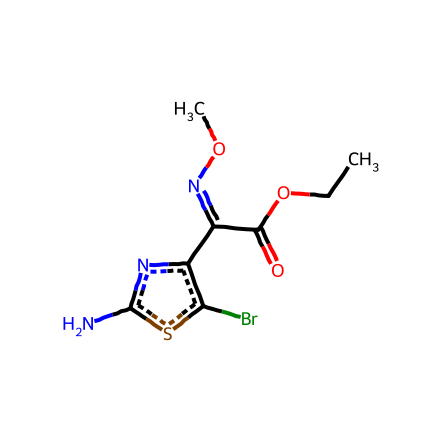 CCOC(=O)C(=NOC)c1nc(N)sc1Br